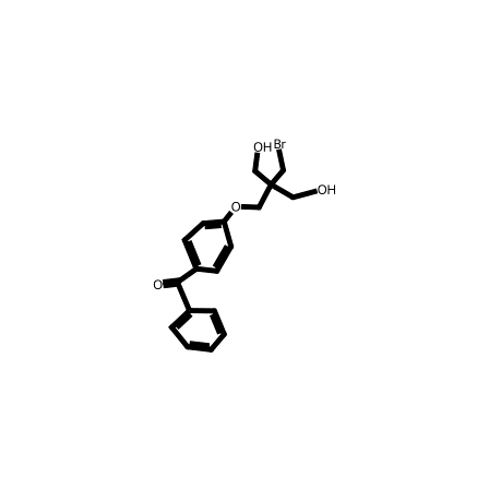 O=C(c1ccccc1)c1ccc(OCC(CO)(CO)CBr)cc1